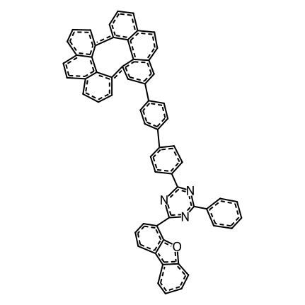 c1ccc(-c2nc(-c3ccc(-c4ccc(-c5cc6ccc7cccc8c9cccc%10ccc%11cccc(c(c5)c6c78)c%11c%109)cc4)cc3)nc(-c3cccc4c3oc3ccccc34)n2)cc1